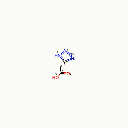 CC(=O)O.c1nnn[nH]1